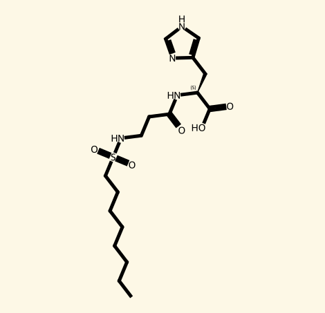 CCCCCCCCS(=O)(=O)NCCC(=O)N[C@@H](Cc1c[nH]cn1)C(=O)O